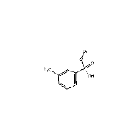 CCOP(=O)(O)c1cccc(C)c1